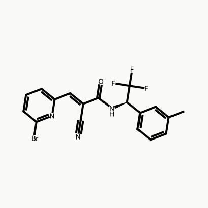 Cc1cccc([C@@H](NC(=O)/C(C#N)=C/c2cccc(Br)n2)C(F)(F)F)c1